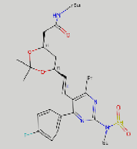 CCCCNC(=O)C[C@H]1C[C@@H](/C=C/c2c(-c3ccc(F)cc3)nc(N(CC)[SH](=O)=O)nc2C(C)C)OC(C)(C)O1